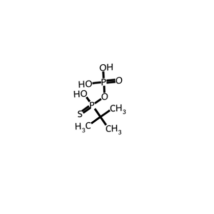 CC(C)(C)P(O)(=S)OP(=O)(O)O